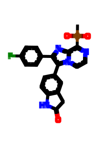 CS(=O)(=O)c1nccn2c(-c3ccc4c(c3)CC(=O)N4)c(-c3ccc(F)cc3)nc12